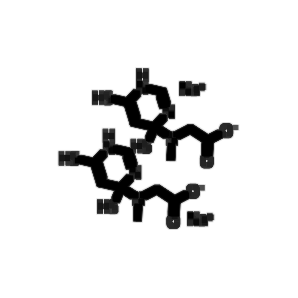 CN(CC(=O)[O-])C1(S)C=C(S)NC=N1.CN(CC(=O)[O-])C1(S)C=C(S)NC=N1.[Na+].[Na+]